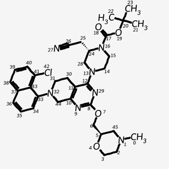 CN1CCO[C@@H](COc2nc3c(c(N4CCN(C(=O)OC(C)(C)C)[C@@H](CC#N)C4)n2)CCN(c2cccc4cccc(Cl)c24)C3)C1